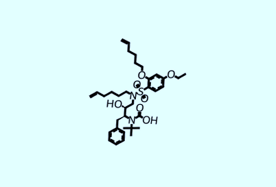 C=CCCCCOc1cc(OCC)ccc1S(=O)(=O)N(CCCCC=C)C[C@H](O)[C@H](Cc1ccccc1)N(C(=O)O)C(C)(C)C